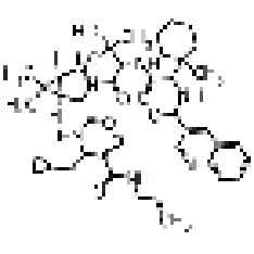 C=CCNC(=O)C(=O)C(CC1CC1)NC(=O)[C@@H]1[C@@H]2[C@H](CN1C(=O)[C@@H](NC(=O)[C@@H](NC(=O)c1cnc3ccccc3c1)C1(C)CCCCC1)C(C)(C)C)C2(C)C